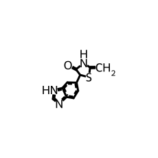 C=C1NC(=O)C(c2ccc3nc[nH]c3c2)S1